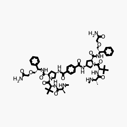 CN[C@@H](C)C(=O)N[C@H](C(=O)N1C[C@@H](NC(=O)c2ccc(C(=O)N[C@H]3C[C@@H](C(=O)N[C@H](COCC(N)=O)c4ccccc4)N(C(=O)[C@@H](NC(=O)[C@H](C)NC)C(C)(C)C)C3)cc2)C[C@H]1C(=O)N[C@H](COCC(N)=O)c1ccccc1)C(C)(C)C